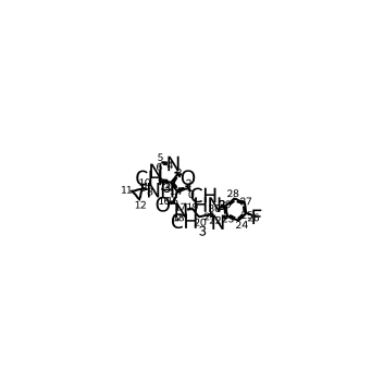 Cc1oc2ncnc(NC3(C)CC3)c2c1C(=O)N(C)CCc1nc2cc(F)ccc2[nH]1